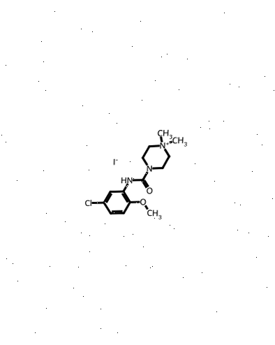 COc1ccc(Cl)cc1NC(=O)N1CC[N+](C)(C)CC1.[I-]